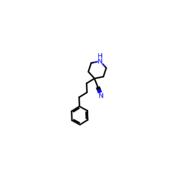 N#CC1(CCCc2ccccc2)CCNCC1